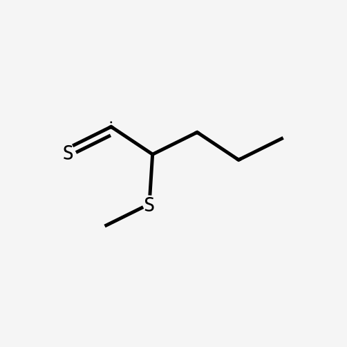 CCCC([C]=S)SC